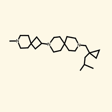 CC(C)CC1(CN2CCC3(CC2)CCN(C2CC4(CCN(C)CC4)C2)CC3)CC1